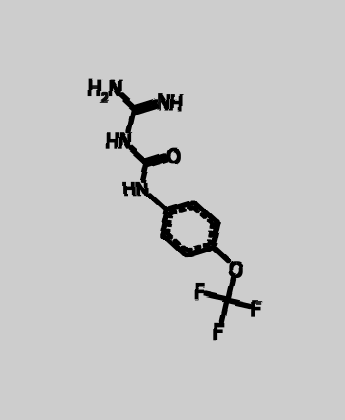 N=C(N)NC(=O)Nc1ccc(OC(F)(F)F)cc1